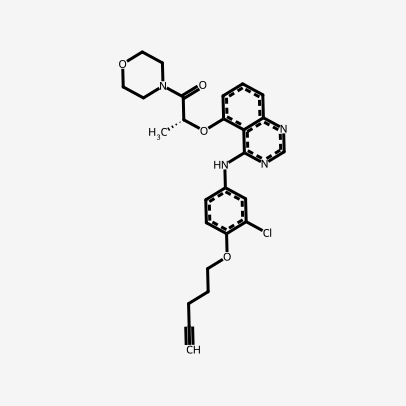 C#CCCCOc1ccc(Nc2ncnc3cccc(O[C@H](C)C(=O)N4CCOCC4)c23)cc1Cl